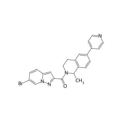 CC1c2ccc(-c3ccncc3)cc2CCN1C(=O)c1cc2ccc(Br)cn2n1